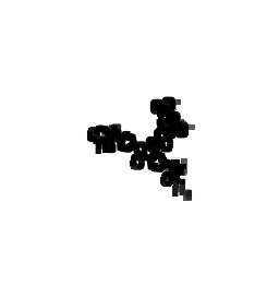 CC(=O)Nc1ccc(C(=O)Oc2ccc(P(=S)(S)N3CCOCC3)cc2)c(OC(=O)CC(CO[N+](=O)[O-])O[N+](=O)[O-])c1